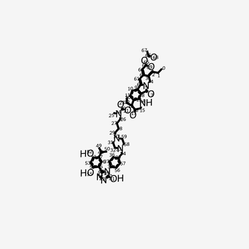 CCC1=C2CN3C(=O)c4c(ccc5c4NCC(=O)C5(CC)OC(=O)N(C)CCCCN4CCN(Cc5ccc(-n6c(O)nnc6-c6cc(C(C)C)c(O)cc6O)cc5)CC4)C3=CC2=CC(OC(C)=O)O1